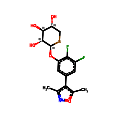 Cc1noc(C)c1-c1cc(F)c(F)c(O[C@@H]2SC[C@@H](O)[C@H](O)[C@H]2O)c1